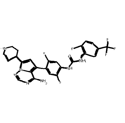 Nc1ncnn2c(C3CCNCC3)cc(-c3cc(F)c(NC(=O)Nc4cc(C(F)(F)F)ccc4F)cc3F)c12